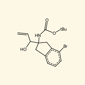 C=CC(O)C1(NC(=O)OC(C)(C)C)Cc2cccc(Br)c2C1